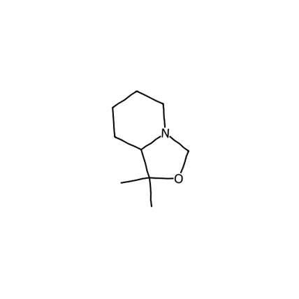 CC1(C)OCN2CCCCC21